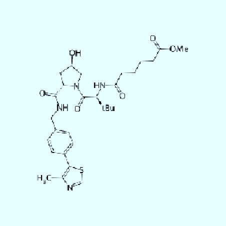 COC(=O)CCCCC(=O)N[C@H](C(=O)N1C[C@H](O)C[C@H]1C(=O)NCc1ccc(-c2scnc2C)cc1)C(C)(C)C